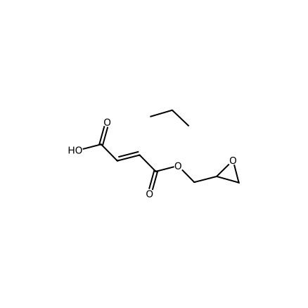 CCC.O=C(O)C=CC(=O)OCC1CO1